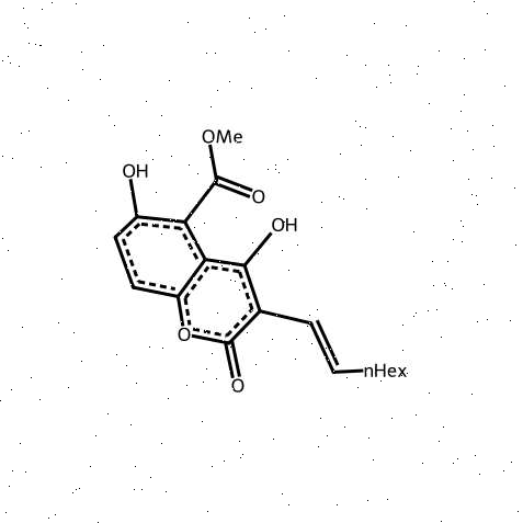 CCCCCCC=Cc1c(O)c2c(C(=O)OC)c(O)ccc2oc1=O